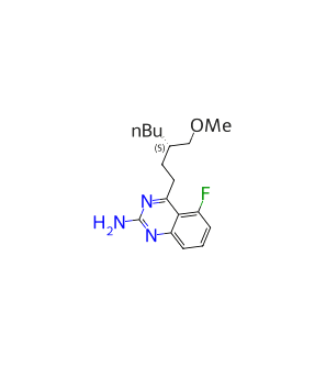 CCCC[C@@H](CCc1nc(N)nc2cccc(F)c12)COC